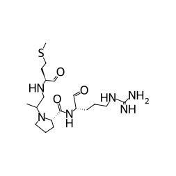 CSCC[C@@H](C=O)NCC(C)N1CCC[C@H]1C(=O)N[C@H](C=O)CCCNC(=N)N